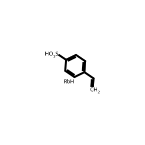 C=Cc1ccc(S(=O)(=O)O)cc1.[RbH]